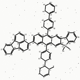 CC1C=CCCC1C1C=CC(c2c3cc(-c4ccc5c6c(cccc46)-c4ccccc4-5)ccc3c(C3=CC=C(C4=CC=CCC4)CC3)c3cc4c(cc23)[Si](C)(C)c2ccccc2-4)=CC1